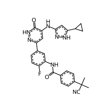 CC(C)(C#N)c1ccc(C(=O)Nc2cc(-c3cc(Nc4cc(C5CC5)[nH]n4)c(=O)[nH]n3)ccc2F)cc1